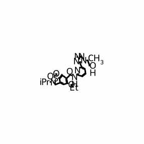 CCOc1cc2c(cc1C(=O)Nc1cccc(-c3nnnn3[C@H](C)CO)n1)S(=O)(=O)N(C(C)C)C2